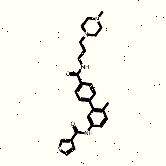 Cc1ccc(NC(=O)c2ccsc2)cc1-c1ccc(C(=O)NCCCN2CCN(C)CC2)cc1